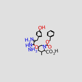 CC1CCCN(C(=O)OCc2ccccc2)C1C(=O)O.NNC(=O)[C@H](N)Cc1ccc(O)cc1